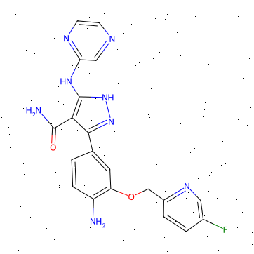 NC(=O)c1c(-c2ccc(N)c(OCc3ccc(F)cn3)c2)n[nH]c1Nc1cnccn1